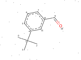 CC(C)(C)c1cccc(C=O)c1